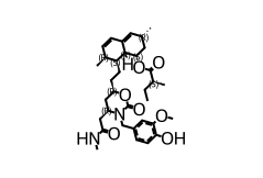 CC[C@H](C)C(=O)O[C@H]1C[C@@H](C)C=C2C=C[C@H](C)[C@H](CC[C@@H]3C[C@H](CC(=O)NC)N(Cc4ccc(O)c(OC)c4)C(=O)O3)[C@H]21